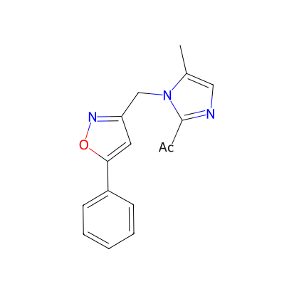 CC(=O)c1ncc(C)n1Cc1cc(-c2ccccc2)on1